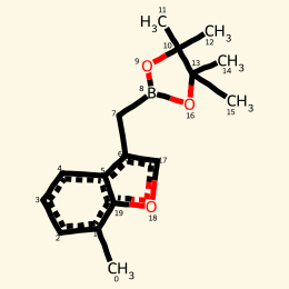 Cc1cccc2c(CB3OC(C)(C)C(C)(C)O3)coc12